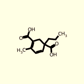 CCCC1(C(=O)O)C=CC(C)=C(C(=O)O)C1